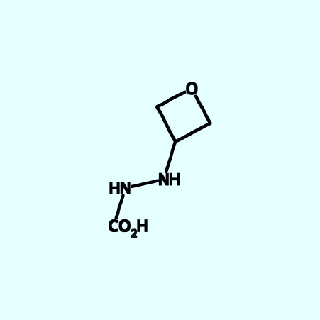 O=C(O)NNC1COC1